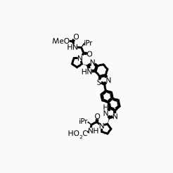 COC(=O)N[C@H](C(=O)N1CCC[C@H]1c1nc2c([nH]1)-c1sc(-c3ccc4c(ccc5nc([C@@H]6CCCN6C(=O)[C@@H](NC(=O)O)C(C)C)[nH]c54)c3)nc1CC2)C(C)C